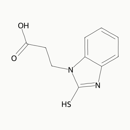 O=C(O)CCn1c(S)nc2ccccc21